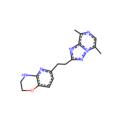 Cc1ncc(C)n2nc(CCc3ccc4c(n3)NCCO4)nc12